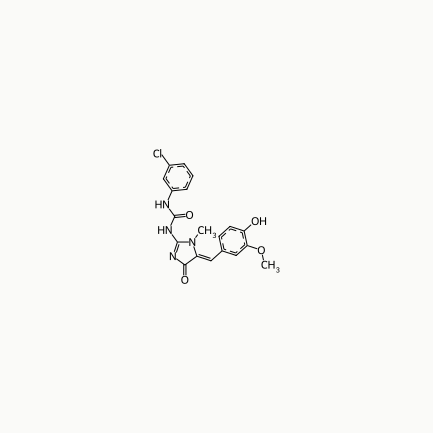 COc1cc(/C=C2/C(=O)N=C(NC(=O)Nc3cccc(Cl)c3)N2C)ccc1O